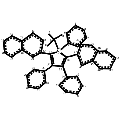 CC(C)(C)[Si]1(c2ccccc2)C(c2ccc3ccccc3c2)=C(c2ccccc2)C(c2ccccc2)=C1c1ccc2ccccc2c1